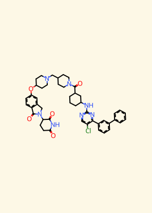 O=C1CCC(N2Cc3cc(OC4CCN(CC5CCN(C(=O)C6CCCC(Nc7ncc(Cl)c(-c8cccc(-c9ccccc9)c8)n7)C6)CC5)CC4)ccc3C2=O)C(=O)N1